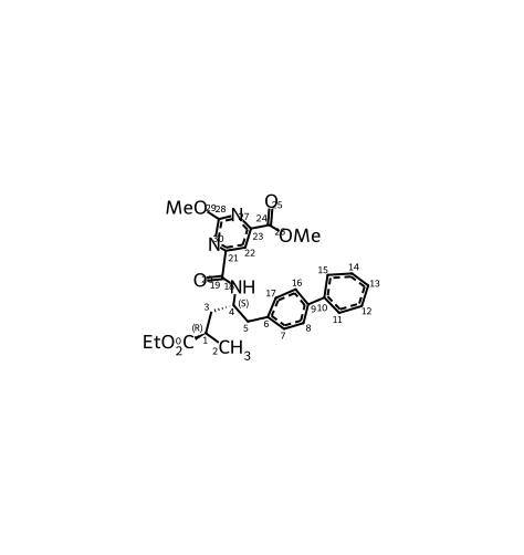 CCOC(=O)[C@H](C)C[C@@H](Cc1ccc(-c2ccccc2)cc1)NC(=O)c1cc(C(=O)OC)nc(OC)n1